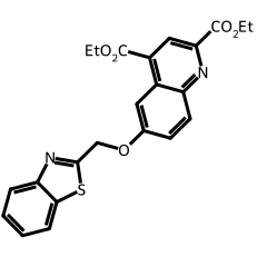 CCOC(=O)c1cc(C(=O)OCC)c2cc(OCc3nc4ccccc4s3)ccc2n1